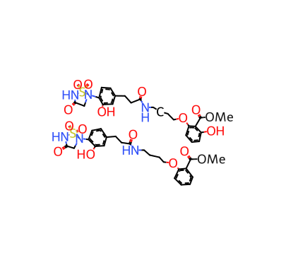 COC(=O)c1c(O)cccc1OCCCCNC(=O)CCc1ccc(N2CC(=O)NS2(=O)=O)c(O)c1.COC(=O)c1ccccc1OCCCCNC(=O)CCc1ccc(N2CC(=O)NS2(=O)=O)c(O)c1